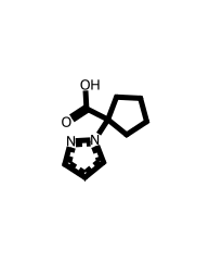 O=C(O)C1(n2c[c]cn2)CCCC1